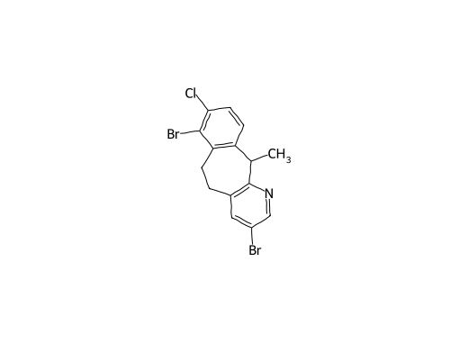 CC1c2ccc(Cl)c(Br)c2CCc2cc(Br)cnc21